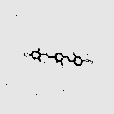 Cc1ccc(CCc2ccc(CCc3c(I)cc(C)cc3I)cc2I)c(I)c1